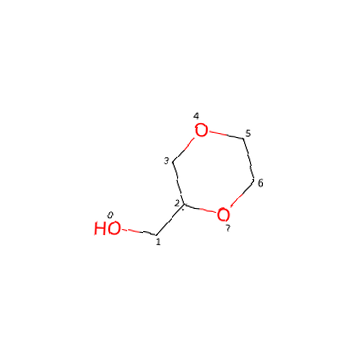 OC[C]1COCCO1